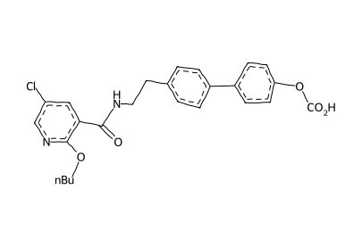 CCCCOc1ncc(Cl)cc1C(=O)NCCc1ccc(-c2ccc(OC(=O)O)cc2)cc1